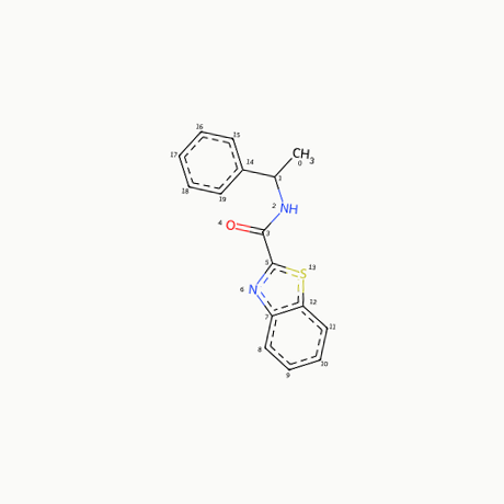 CC(NC(=O)c1nc2ccccc2s1)c1ccccc1